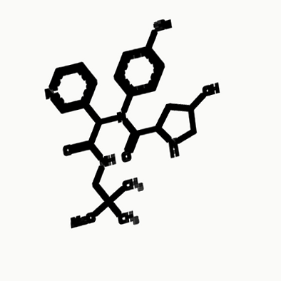 COC(C)(C)CNC(=O)C(c1cccnc1)N(C(=O)C1CC(O)CN1)c1ccc(C(C)(C)C)cc1